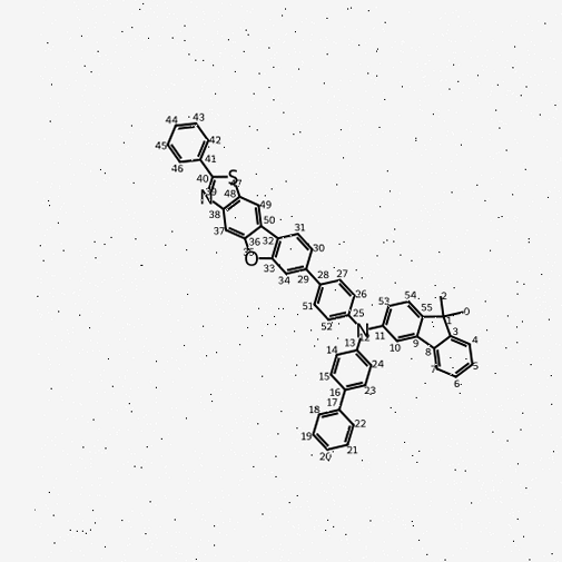 CC1(C)c2ccccc2-c2cc(N(c3ccc(-c4ccccc4)cc3)c3ccc(-c4ccc5c(c4)oc4cc6nc(-c7ccccc7)sc6cc45)cc3)ccc21